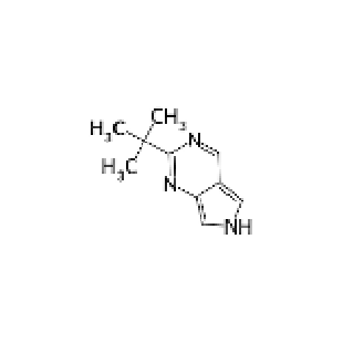 CC(C)(C)c1ncc2c[nH]cc2n1